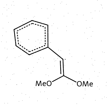 COC(=[C]c1ccccc1)OC